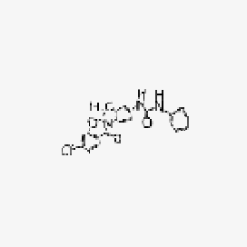 Cc1cc(NC(=O)Nc2ccccc2)ccc1N1COc2cc(Cl)ccc2C1=O